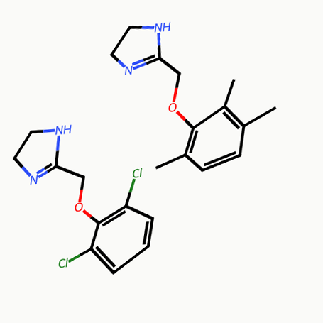 Cc1ccc(C)c(OCC2=NCCN2)c1C.Clc1cccc(Cl)c1OCC1=NCCN1